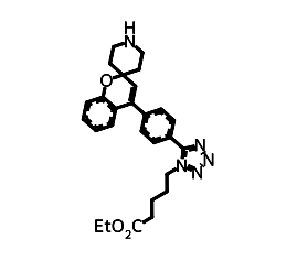 CCOC(=O)CCCCn1nnnc1-c1ccc(C2=CC3(CCNCC3)Oc3ccccc32)cc1